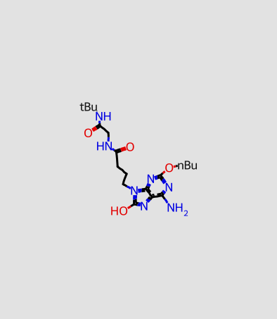 CCCCOc1nc(N)c2nc(O)n(CCCC(=O)NCC(=O)NC(C)(C)C)c2n1